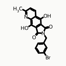 Cc1ccc2c(O)c3c(c(O)c2n1)C(=O)N(Cc1cccc(Br)c1)C3=O